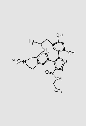 CCNC(=O)c1noc(-c2cc(CC(C)C)c(O)cc2O)c1-c1ccc2c(c1)CCN(C)C2